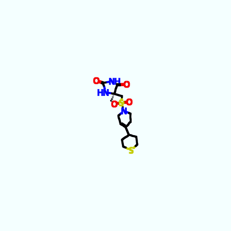 C[C@]1(CS(=O)(=O)N2CC=C(C3CCSCC3)CC2)NC(=O)NC1=O